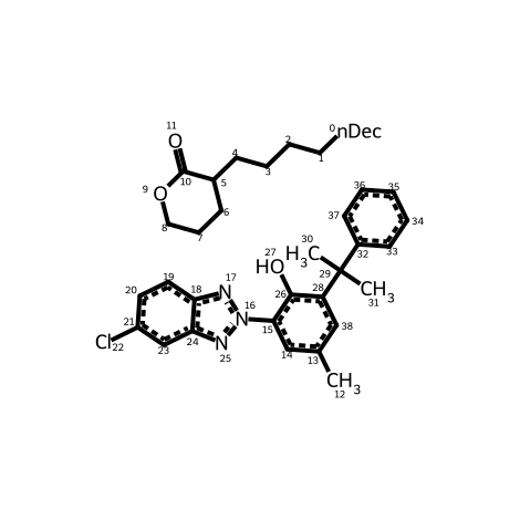 CCCCCCCCCCCCCCC1CCCOC1=O.Cc1cc(-n2nc3ccc(Cl)cc3n2)c(O)c(C(C)(C)c2ccccc2)c1